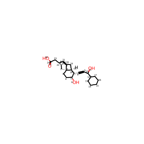 CC[C@@]12CC[C@H](O)[C@@H](C#CC(O)C3CCCCC3)[C@@H]1C/C2=C/CCC(=O)O